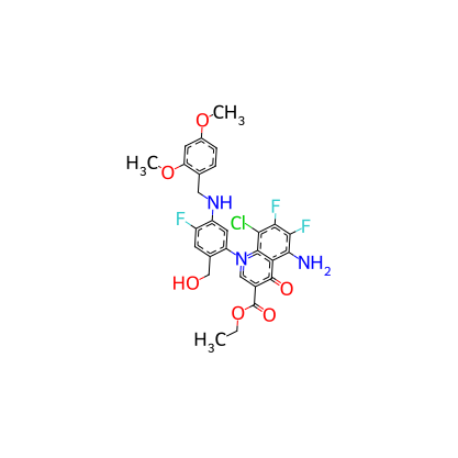 CCOC(=O)c1cn(-c2cc(NCc3ccc(OC)cc3OC)c(F)cc2CO)c2c(Cl)c(F)c(F)c(N)c2c1=O